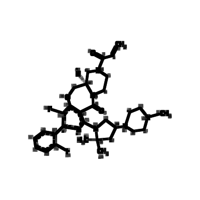 C=CC(=O)N1CCN2C(=O)c3c(N4CC(N5CCN(C)CC5)CC4(C)C)nc(-c4ccccc4F)c(F)c3OC[C@H]2C1